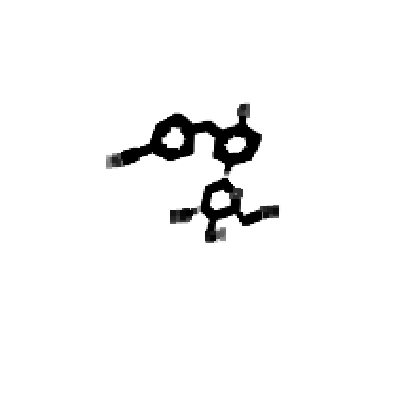 C#Cc1ccc(Cc2cc([C@H]3C[C@@H](O)[C@H](O)[C@@H](CO)O3)ccc2Cl)cc1